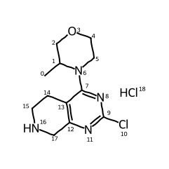 CC1COCCN1c1nc(Cl)nc2c1CCNC2.Cl